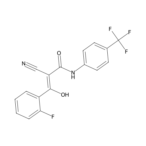 N#CC(C(=O)Nc1ccc(C(F)(F)F)cc1)=C(O)c1ccccc1F